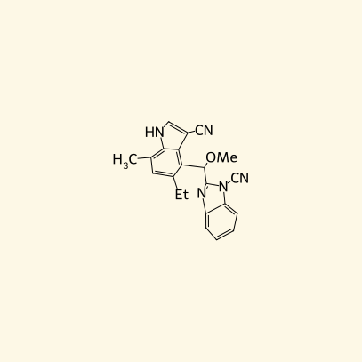 CCc1cc(C)c2[nH]cc(C#N)c2c1C(OC)c1nc2ccccc2n1C#N